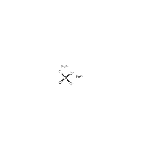 [Fe+2].[Fe+2].[O-][Ti]([O-])([O-])[O-]